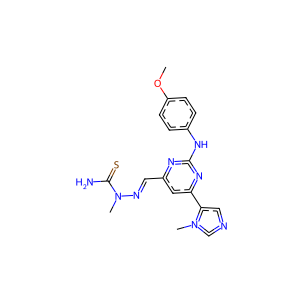 COc1ccc(Nc2nc(/C=N/N(C)C(N)=S)cc(-c3cncn3C)n2)cc1